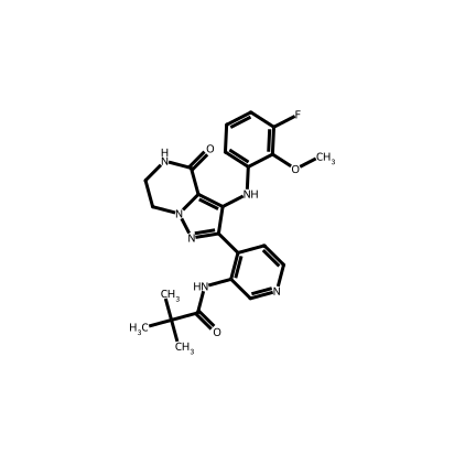 COc1c(F)cccc1Nc1c(-c2ccncc2NC(=O)C(C)(C)C)nn2c1C(=O)NCC2